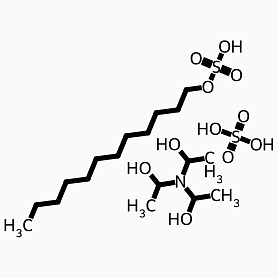 CC(O)N(C(C)O)C(C)O.CCCCCCCCCCCCOS(=O)(=O)O.O=S(=O)(O)O